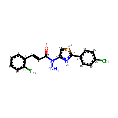 NN(C(=O)C=Cc1ccccc1F)c1csc(-c2ccc(Cl)cc2)n1